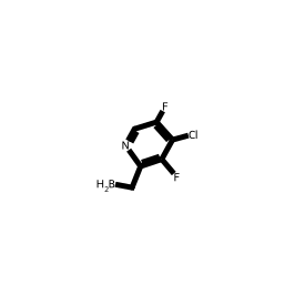 BCc1ncc(F)c(Cl)c1F